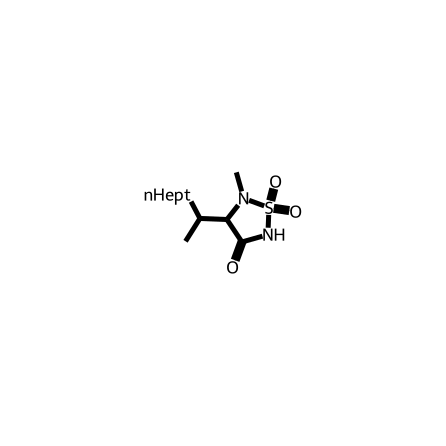 CCCCCCCC(C)C1C(=O)NS(=O)(=O)N1C